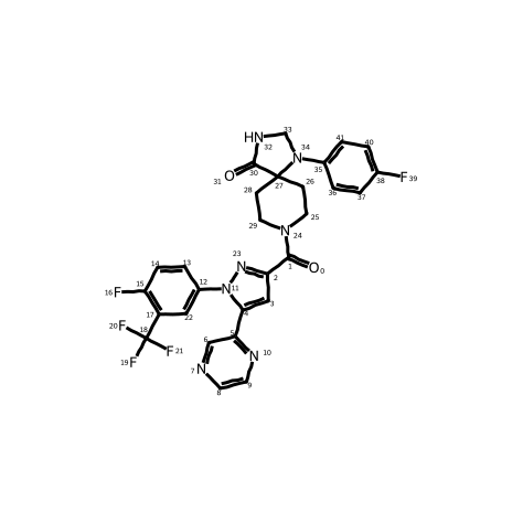 O=C(c1cc(-c2cnccn2)n(-c2ccc(F)c(C(F)(F)F)c2)n1)N1CCC2(CC1)C(=O)NCN2c1ccc(F)cc1